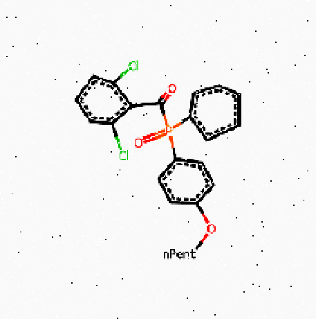 CCCCCOc1ccc(P(=O)(C(=O)c2c(Cl)cccc2Cl)c2ccccc2)cc1